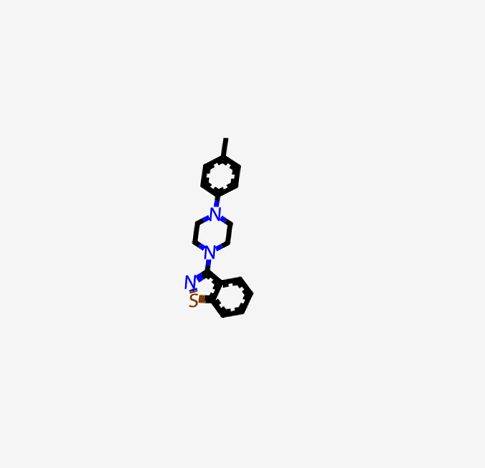 Cc1ccc(N2CCN(c3nsc4ccccc34)CC2)cc1